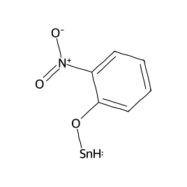 O=[N+]([O-])c1ccccc1[O][SnH]